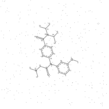 COc1cccc(N(C(=O)CN(C)C)c2ccc(C(=O)N(C(C)C)C(C)C)cc2)c1